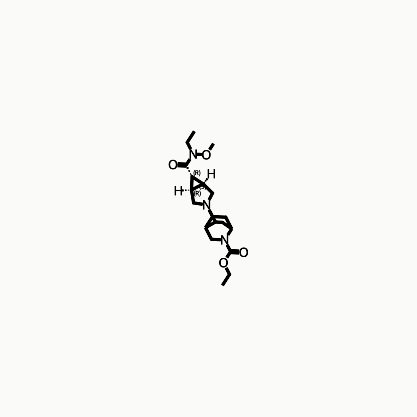 CCOC(=O)N1CC2CCC1CC2N1C[C@@H]2[C@H](C1)[C@H]2C(=O)N(CC)OC